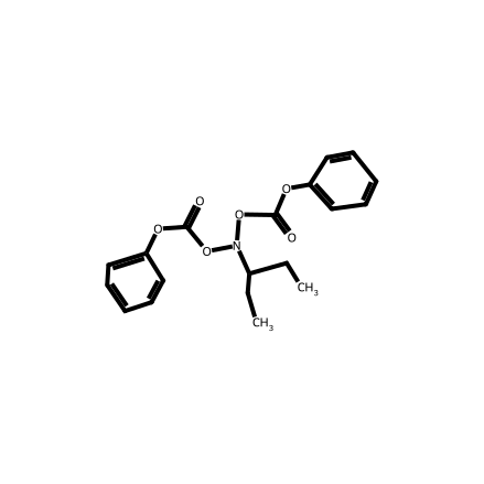 CCC(CC)N(OC(=O)Oc1ccccc1)OC(=O)Oc1ccccc1